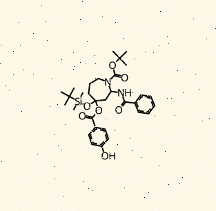 CC(C)(C)OC(=O)N1CCCC(OC(=O)c2ccc(O)cc2)(O[Si](C)(C)C(C)(C)C)CC1NC(=O)c1ccccc1